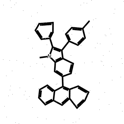 Cc1ccc(-c2c(-c3ccccc3)n(C)c3cc(-c4c5ccccc5cc5ccccc45)ccc23)cc1